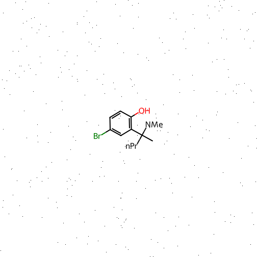 CCCC(C)(NC)c1cc(Br)ccc1O